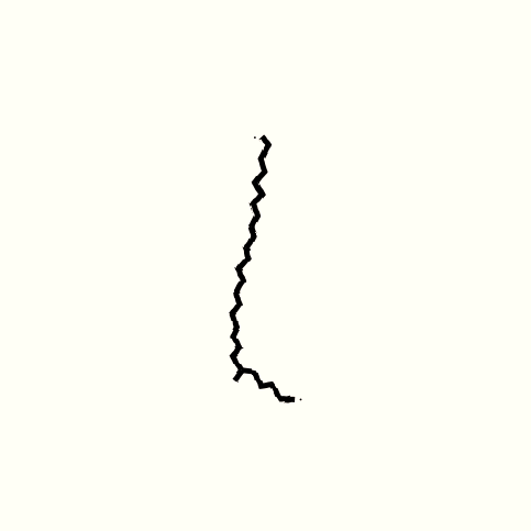 [CH2]CCCCCCCCCCCCCCCCCCCCC(C)CCCC[CH2]